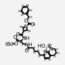 CC(C)(C)OC(=O)C(CNC(=O)CCCCc1ccc2c(n1)N(C(=O)O)CCC2)NC(=O)C1CN(C(=O)OCc2ccccc2)C1